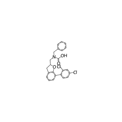 O=C(O)N(Cc1ccccc1)CC1Cc2cccc(-c3ccc(Cl)cc3Cl)c2O1